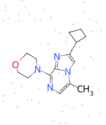 Cc1cnc(N2CCOCC2)c2nc(C3CCC3)cn12